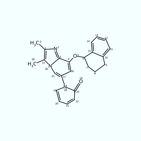 Cc1nc2c(OC3CCCc4ccccc43)cc(-n3ccccc3=O)cn2c1C